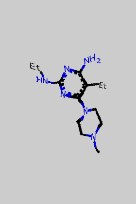 CCNc1nc(N)c(CC)c(N2CCN(C)CC2)n1